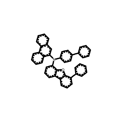 c1ccc(-c2ccc(N(c3cc4ccccc4c4ccccc34)c3cccc4c3oc3c(-c5ccccc5)cccc34)cc2)cc1